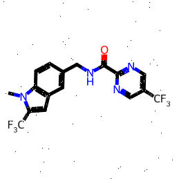 Cn1c(C(F)(F)F)cc2cc(CNC(=O)c3ncc(C(F)(F)F)cn3)ccc21